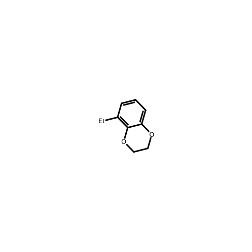 C[CH]c1cccc2c1OCCO2